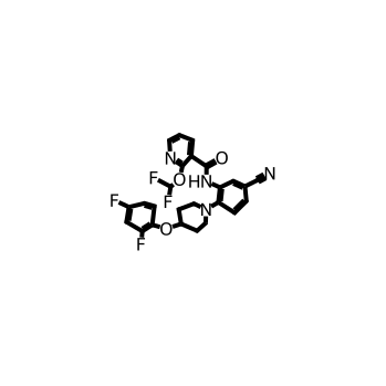 N#Cc1ccc(N2CCC(Oc3ccc(F)cc3F)CC2)c(NC(=O)c2cccnc2OC(F)F)c1